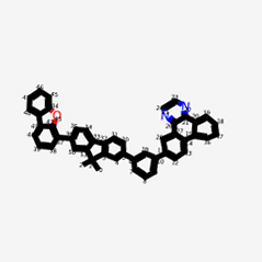 CC1(C)c2cc(-c3cccc(-c4ccc5c6ccccc6c6nccnc6c5c4)c3)ccc2-c2ccc(-c3cccc4c3oc3ccccc34)cc21